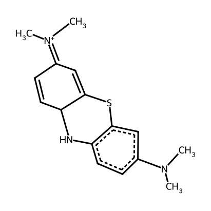 CN(C)c1ccc2c(c1)SC1=CC(=[N+](C)C)C=CC1N2